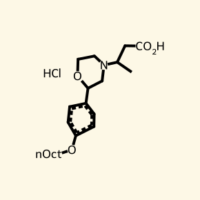 CCCCCCCCOc1ccc(C2CN(C(C)CC(=O)O)CCO2)cc1.Cl